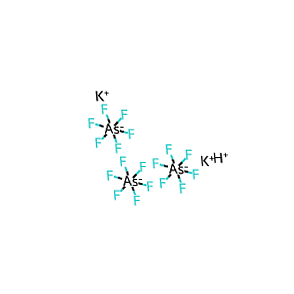 F[As-](F)(F)(F)(F)F.F[As-](F)(F)(F)(F)F.F[As-](F)(F)(F)(F)F.[H+].[K+].[K+]